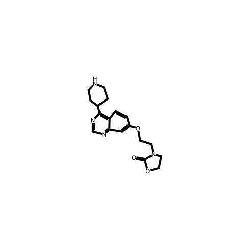 O=C1OCCN1CCOc1ccc2c(C3CCNCC3)ncnc2c1